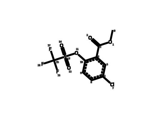 COC(=O)c1cc(Cl)ccc1OS(=O)(=O)C(F)(F)F